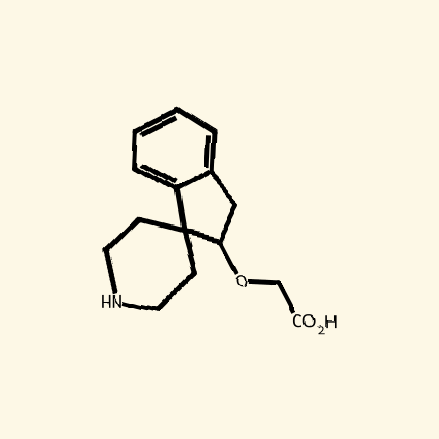 O=C(O)COC1Cc2ccccc2C12CCNCC2